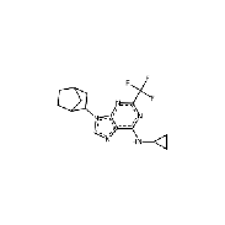 FC(F)(F)c1nc(NC2CC2)c2ncn(C3CC4CCC3C4)c2n1